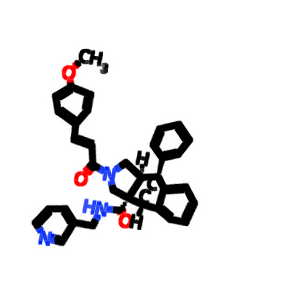 COc1ccc(C=CC(=O)N2C[C@H]3[C@@]4(c5ccccc5)CC[C@H](c5ccccc54)[C@@]3(C(=O)NCc3cccnc3)C2)cc1